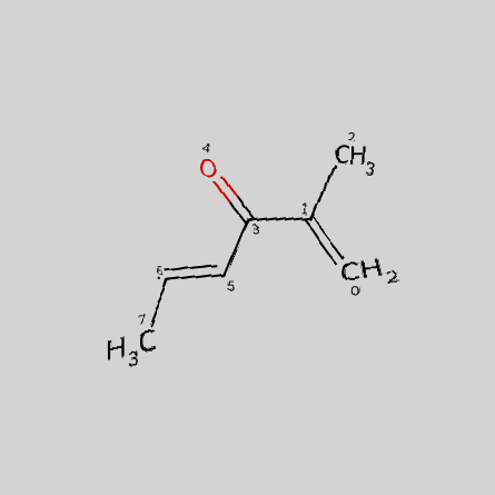 C=C(C)C(=O)/C=[C]/C